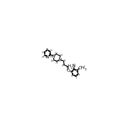 Cc1cccc(OCCCN2CCN(c3ccccn3)CC2)c1N